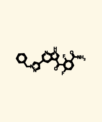 NC(=O)c1ccc(F)c(C(=O)c2c[nH]c3ncc(-c4cnn(Cc5ccccc5)c4)cc23)c1F